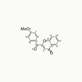 COc1ccc(C(=O)c2cc(=O)c3ccccc3o2)cc1